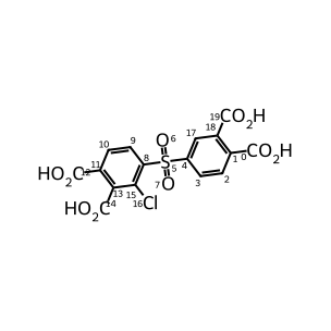 O=C(O)c1ccc(S(=O)(=O)c2ccc(C(=O)O)c(C(=O)O)c2Cl)cc1C(=O)O